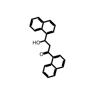 O=C(CC(O)c1cccc2ccccc12)c1cccc2ccccc12